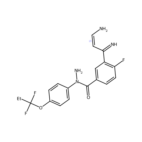 CCC(F)(F)Oc1ccc(N(N)C(=O)c2ccc(F)c(C(=N)/C=C\N)c2)cc1